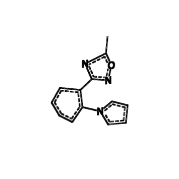 Cc1nc(-c2ccccc2-n2cccc2)no1